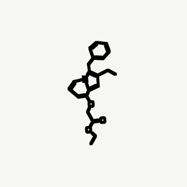 CCOC(=O)COc1cccn2c(Cc3ccccc3)c(CC)cc12